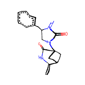 C=C1NC(=O)C2(N3CC(c4ccccc4)NC3=O)CC1C2